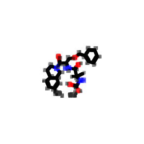 CC(C)(C)OC(=O)NC(C)(C)C(=O)N[C@H](COCc1ccccc1)C(=O)N1CCc2ccc([N+](=O)[O-])cc2C1